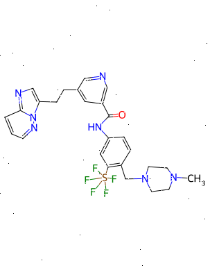 CN1CCN(Cc2ccc(NC(=O)c3cncc(CCc4cnc5cccnn45)c3)cc2S(F)(F)(F)(F)F)CC1